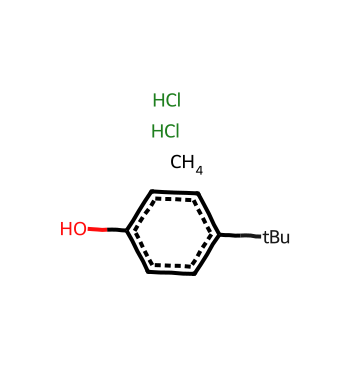 C.CC(C)(C)c1ccc(O)cc1.Cl.Cl